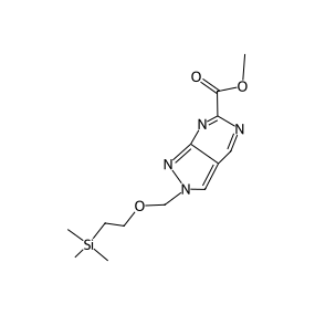 COC(=O)c1ncc2cn(COCC[Si](C)(C)C)nc2n1